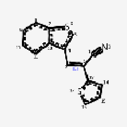 N#C/C(=C\c1csc2ccccc12)c1cccs1